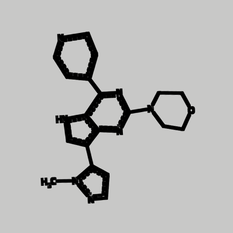 Cn1nccc1-c1c[nH]c2c(-c3ccncc3)nc(N3CCOCC3)nc12